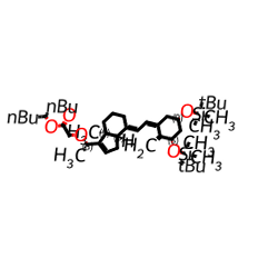 C=C1C(=CC=C2CCC[C@]3(C)C([C@H](C)OCC(=O)OC(CCCC)CCCC)=CC[C@@H]23)C[C@@H](O[Si](C)(C)C(C)(C)C)C[C@@H]1O[Si](C)(C)C(C)(C)C